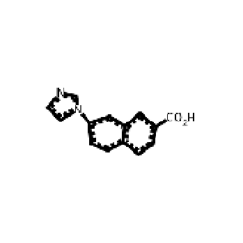 O=C(O)c1ccc2ccc(-n3ccnc3)cc2c1